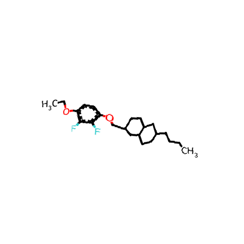 CCCCC1CCC2CC(COc3ccc(OCC)c(F)c3F)CCC2C1